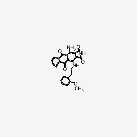 COc1ccccc1CCNc1c2c(=O)[nH]c(=O)c2c(N)c2c(=O)c3ccccc3c(=O)c12